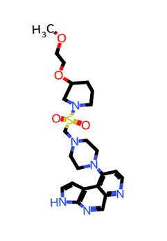 COCCOC1CCCN(S(=O)(=O)CN2CCN(c3ccnc4cnc5[nH]ccc5c34)CC2)C1